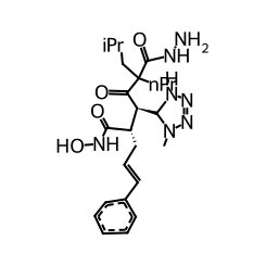 CCCC(CC(C)C)(C(=O)NN)C(=O)[C@@H](C1NN=NN1C)[C@H](C/C=C/c1ccccc1)C(=O)NO